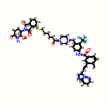 Cc1ccc(C(=O)Nc2ccc(CN3CCN(C(=O)CCCCCSc4cccc5c4C(=O)N(C4CCC(=O)NC4=O)C5=O)CC3)c(C(F)(F)F)c2)cc1C#Cc1cnc2cccnn12